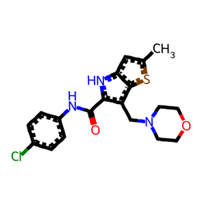 Cc1cc2[nH]c(C(=O)Nc3ccc(Cl)cc3)c(CN3CCOCC3)c2s1